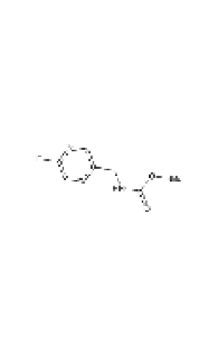 CC(C)(C)OC(=O)NCc1ccc(F)nc1